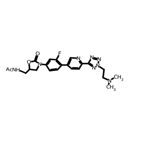 CC(=O)NCC1CN(c2ccc(-c3ccc(-c4nnn(CCN(C)C)n4)nc3)c(F)c2)C(=O)O1